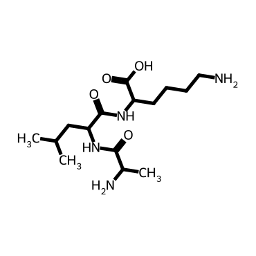 CC(C)CC(NC(=O)C(C)N)C(=O)NC(CCCCN)C(=O)O